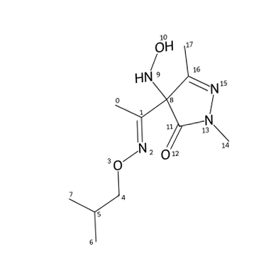 CC(=NOCC(C)C)C1(NO)C(=O)N(C)N=C1C